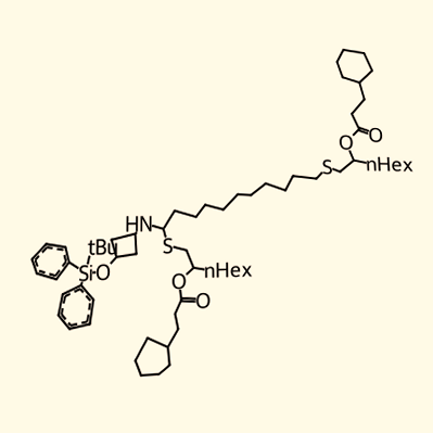 CCCCCCC(CSCCCCCCCCCCC(NC1CC(O[Si](c2ccccc2)(c2ccccc2)C(C)(C)C)C1)SCC(CCCCCC)OC(=O)CCC1CCCCC1)OC(=O)CCC1CCCCC1